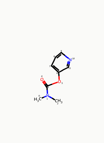 CN(C)C(=O)Oc1cccnc1